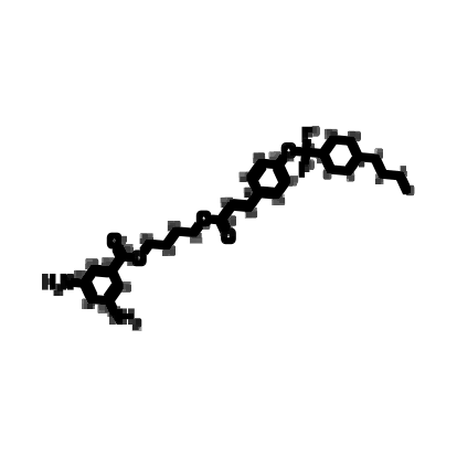 CCCCC1CCC(C(F)(F)Oc2ccc(/C=C/C(=O)OCCCCOC(=O)c3cc(N)cc(N)c3)cc2)CC1